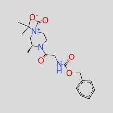 C[C@H]1C[N+](C(=O)[O-])(C(C)(C)C)CCN1C(=O)CNC(=O)OCc1ccccc1